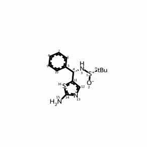 CC(C)(C)[S@@+]([O-])N[C@@H](c1ccccc1)c1cnc(N)s1